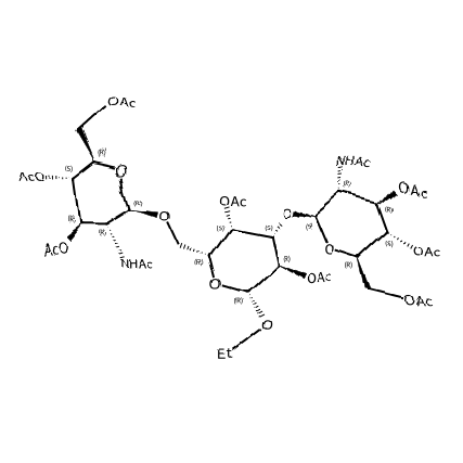 CCO[C@@H]1O[C@H](CO[C@@H]2O[C@H](COC(C)=O)[C@@H](OC(C)=O)[C@H](OC(C)=O)[C@H]2NC(C)=O)[C@H](OC(C)=O)[C@H](O[C@@H]2O[C@H](COC(C)=O)[C@@H](OC(C)=O)[C@H](OC(C)=O)[C@H]2NC(C)=O)[C@H]1OC(C)=O